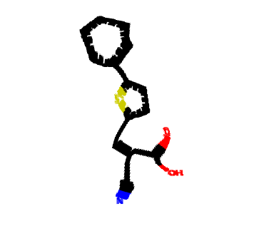 N#C/C(=C/c1ccc(-c2ccccc2)s1)C(=O)O